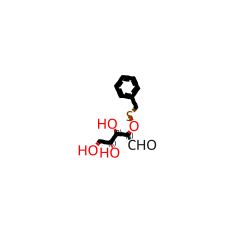 O=C[C@H](OSCc1ccccc1)[C@H](O)[C@H](O)CO